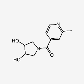 Cc1cc(C(=O)N2CC(O)C(O)C2)ccn1